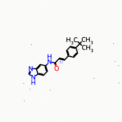 CC(C)(C)c1ccc(/C=C/C(=O)Nc2ccc3[nH]cnc3c2)cc1